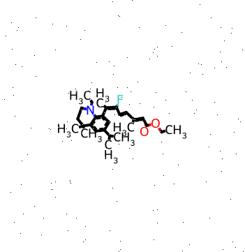 CCOC(=O)/C=C(C)/C=C/C(F)=C(/C)c1cc(C(C)C)cc2c1N(CC)CCC2(C)C